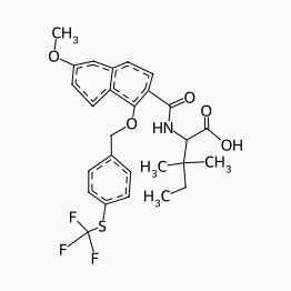 CCC(C)(C)C(NC(=O)c1ccc2cc(OC)ccc2c1OCc1ccc(SC(F)(F)F)cc1)C(=O)O